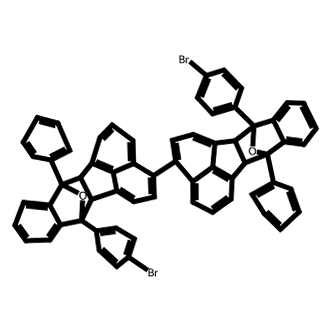 Brc1ccc(C23OC(c4ccccc4)(c4ccccc42)C2c4cccc5c(-c6ccc7c8c(cccc68)C6C7C7(c8ccc(Br)cc8)OC6(c6ccccc6)c6ccccc67)ccc(c45)C23)cc1